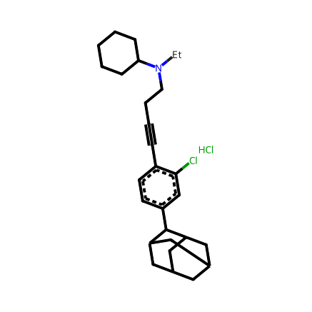 CCN(CCC#Cc1ccc(C2C3CC4CC(C3)CC2C4)cc1Cl)C1CCCCC1.Cl